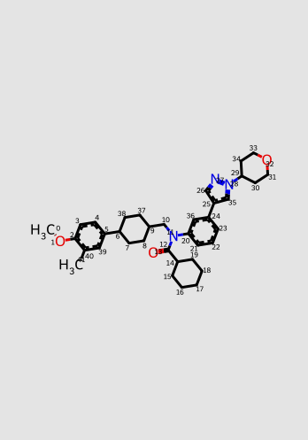 COc1ccc(C2CCC(CN(C(=O)C3CCCCC3)c3cccc(-c4cnn(C5CCOCC5)c4)c3)CC2)cc1C